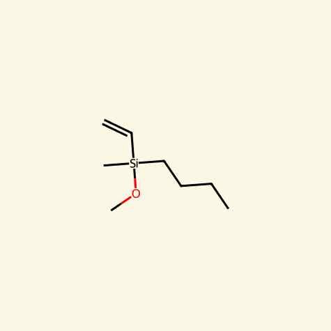 C=C[Si](C)(CCCC)OC